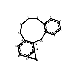 c1ccc2c(c1)CCCCc1ccc3c(c1C2)C3